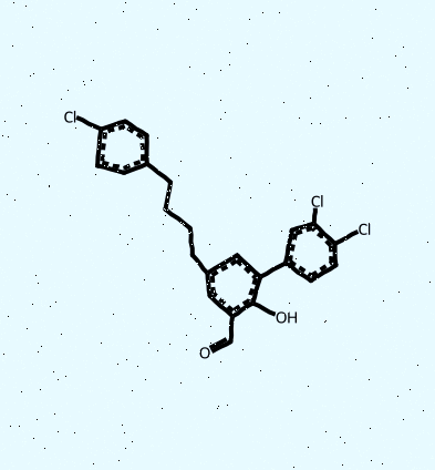 O=Cc1cc(CCCCc2ccc(Cl)cc2)cc(-c2ccc(Cl)c(Cl)c2)c1O